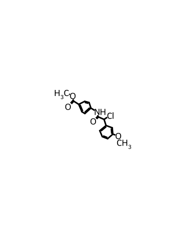 COC(=O)c1ccc(NC(=O)C(Cl)c2cccc(OC)c2)cc1